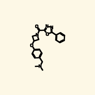 CN(C)Cc1ccc(OC2CN(C(=O)c3nnc(-c4ccccc4)o3)C2)cc1